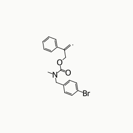 [CH]=C(COC(=O)N(C)Cc1ccc(Br)cc1)c1ccccc1